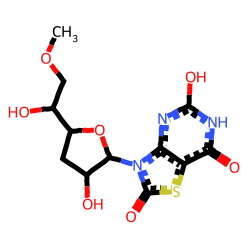 COCC(O)C1CC(O)C(n2c(=O)sc3c(=O)[nH]c(O)nc32)O1